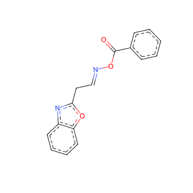 O=C(ON=CCc1nc2ccccc2o1)c1ccccc1